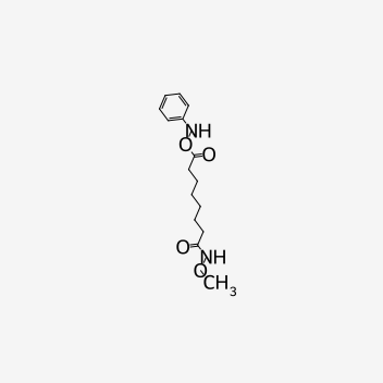 CONC(=O)CCCCCCC(=O)ONc1ccccc1